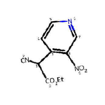 [C-]#[N+]C(C(=O)OCC)c1ccncc1[N+](=O)[O-]